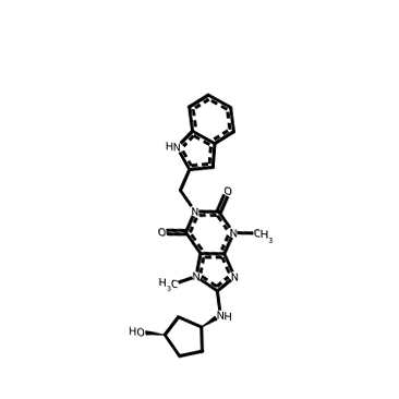 Cn1c(N[C@H]2CC[C@@H](O)C2)nc2c1c(=O)n(Cc1cc3ccccc3[nH]1)c(=O)n2C